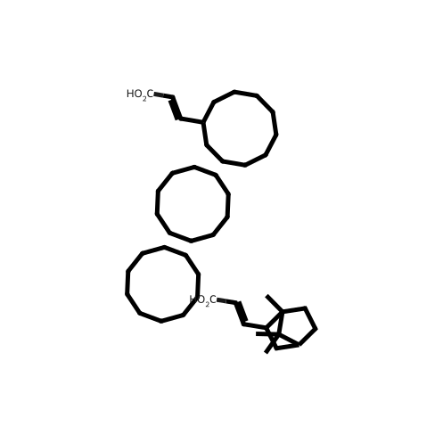 C1CCCCCCCCC1.C1CCCCCCCCC1.CC1(C)C2CCC1(C)C(C=CC(=O)O)C2.O=C(O)C=CC1CCCCCCCCC1